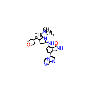 C[C@H](c1ccc(Nc2ccc(-c3cnc4cnccn34)c3c2C(=O)NC3)nc1CN(C)C)C1CCOCC1